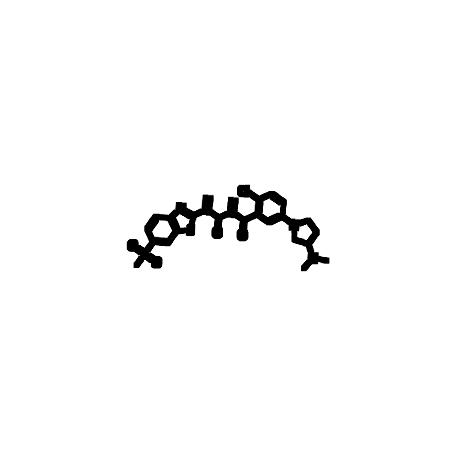 CN(C)C1CCN(c2ccc(Cl)c(C(=O)NC(=O)Nc3nc4ccc(S(C)(=O)=O)cc4s3)c2)C1